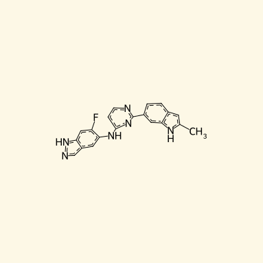 Cc1cc2ccc(-c3nccc(Nc4cc5cn[nH]c5cc4F)n3)cc2[nH]1